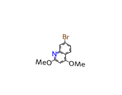 COc1cc(OC)c2ccc(Br)cc2n1